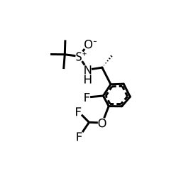 C[C@@H](N[S+]([O-])C(C)(C)C)c1cccc(OC(F)F)c1F